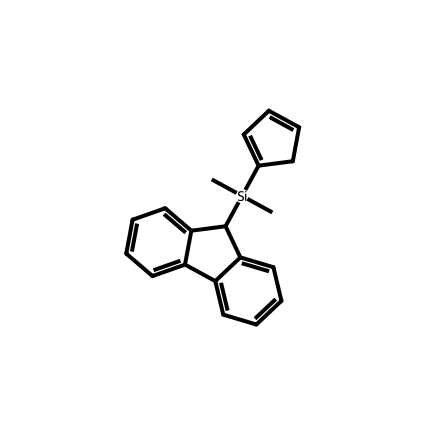 C[Si](C)(C1=CC=CC1)C1c2ccccc2-c2ccccc21